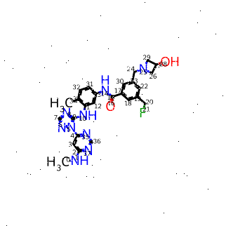 CNc1cc(-n2ncnc2Nc2cc(NC(=O)c3cc(CF)cc(CN4CC(O)C4)c3)ccc2C)ncn1